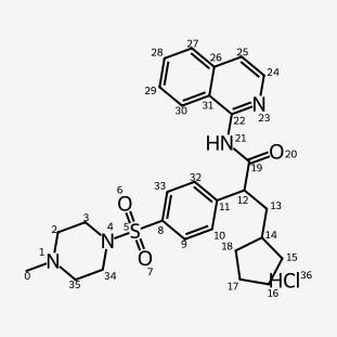 CN1CCN(S(=O)(=O)c2ccc(C(CC3CCCC3)C(=O)Nc3nccc4ccccc34)cc2)CC1.Cl